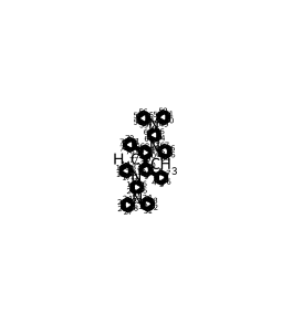 Cc1c(-c2ccccc2)cc(N(c2ccccc2)c2ccc(N(c3ccccc3)c3ccccc3)cc2)cc1-c1cc(N(c2ccc(N(c3ccccc3)c3ccccc3)cc2)C2C=CC=CC2)cc(-c2ccccc2)c1C